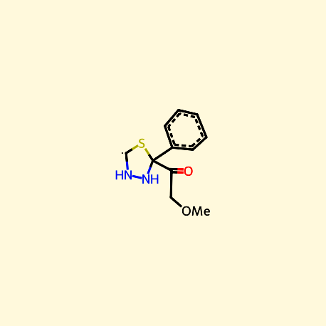 COCC(=O)C1(c2ccccc2)NN[CH]S1